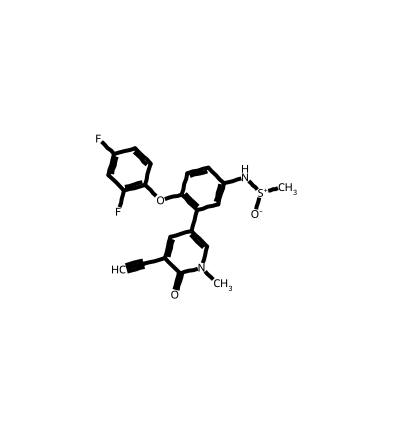 C#Cc1cc(-c2cc(N[S+](C)[O-])ccc2Oc2ccc(F)cc2F)cn(C)c1=O